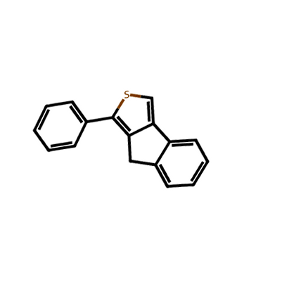 c1ccc(-c2scc3c2Cc2ccccc2-3)cc1